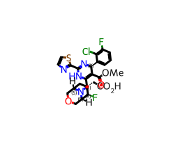 COC(=O)C1=C(CN2[C@@H]3COC[C@H]2[C@H](F)[C@@H](CC(=O)O)C3)NC(c2nccs2)=N[C@H]1c1cccc(F)c1Cl